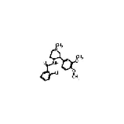 COc1ccc(C2CN(C)CCC2NC(=O)c2ccccc2Cl)cc1OC